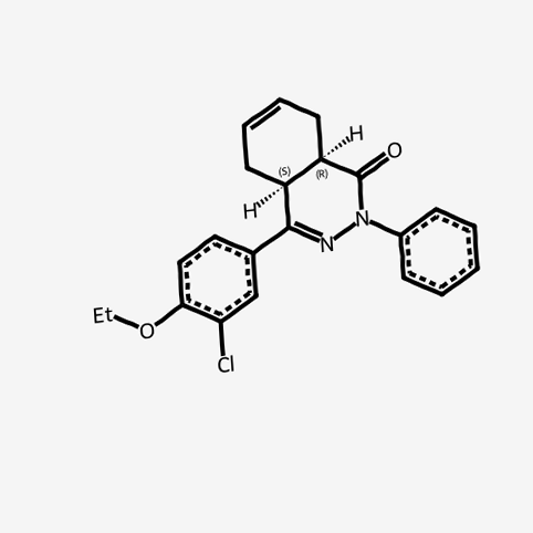 CCOc1ccc(C2=NN(c3ccccc3)C(=O)[C@@H]3CC=CC[C@H]23)cc1Cl